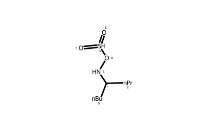 CCCCC(CCC)NO[SH](=O)=O